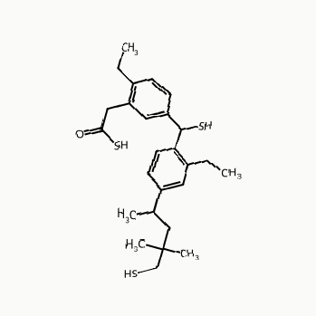 CCc1ccc(C(S)c2ccc(C(C)CC(C)(C)CS)cc2CC)cc1CC(=O)S